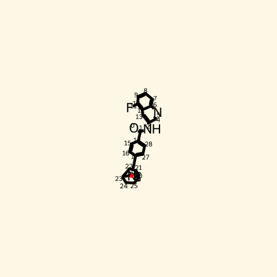 O=C(Nc1cnc2cccc(F)c2c1)c1ccc(N2CC3CCC(CC3)C2)cc1